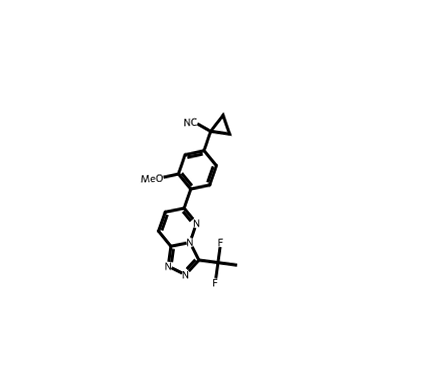 COc1cc(C2(C#N)CC2)ccc1-c1ccc2nnc(C(C)(F)F)n2n1